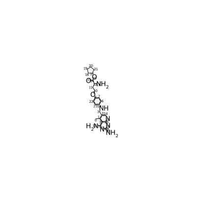 Cc1c(CNc2ccc(OCCC(N)C(=O)OC3CCCC3)cc2)cnc2nc(N)nc(N)c12